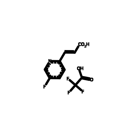 O=C(O)C(F)(F)F.O=C(O)C=Cc1ccc(F)cn1